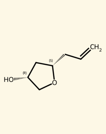 C=CC[C@H]1C[C@@H](O)CO1